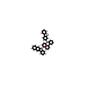 c1ccc(-c2ccccc2N(c2ccc(-n3c4ccccc4c4cc5ccccc5cc43)cc2)c2ccc3c(c2)oc2ccccc23)cc1